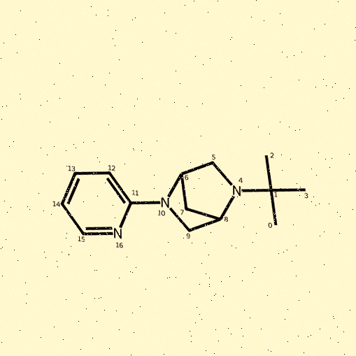 CC(C)(C)N1CC2CC1CN2c1ccccn1